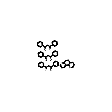 O=C(CC(=O)c1ccccc1)c1ccccc1.O=C(CC(=O)c1ccccc1)c1ccccc1.O=C(CC(=O)c1ccccc1)c1ccccc1.c1cnc2c(c1)ccc1ncccc12